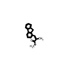 COC(=O)C(C)=Cc1cccc2c1Cc1ccccc1-2